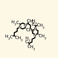 CC(C)CCCN1C[C@@H](CCC(C)N2C[C@H](C)N(CCCC(C)C)C[C@H]2C)N(C(C)C)C[C@H]1C